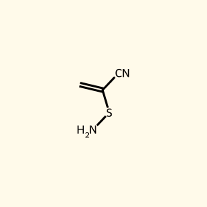 C=C(C#N)SN